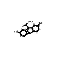 COC(=O)C12CC(c3ccc(Cl)cc31)c1ccc([N+](=O)[O-])cc12